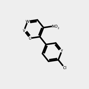 O=[N+]([O-])C1=[C](C2=CC=[C](Cl)[Y]=[CH]2)[U]=[V][W]=[CH]1